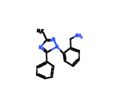 Cc1nc(-c2ccccc2)n(-c2ccccc2CN)n1